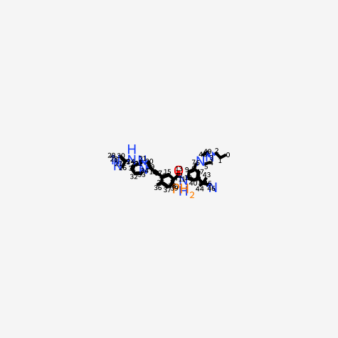 CCCN1CCN(Cc2cc(NC(=O)c3cc(C#Cc4cnc5c(Nc6cnn(C)c6)cccn45)c(C)cc3P)cc(C(C)(C)C#N)c2)CC1